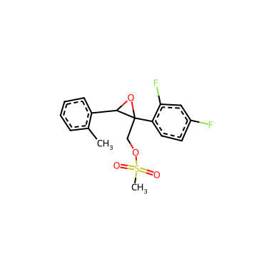 Cc1ccccc1C1OC1(COS(C)(=O)=O)c1ccc(F)cc1F